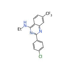 CCNc1nc(-c2ccc(Cl)cc2)nc2cc(C(F)(F)F)ccc12